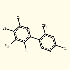 FC(F)(F)c1cc(Cl)n[c]c1-c1nc(Cl)c(Cl)c(C(F)(F)F)c1Cl